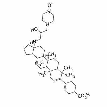 CC1(C)C(C2=CCC(C(=O)O)CC2)=CCC2(C)C1CCC1(C)C2CCC2C3CCCC3(NCC(O)CN3CC[S+]([O-])CC3)CC[C@]21C